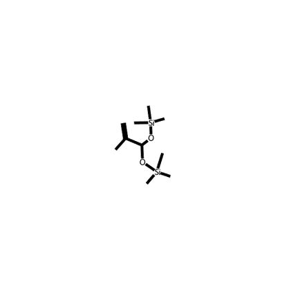 C=C(C)C(O[Si](C)(C)C)O[Si](C)(C)C